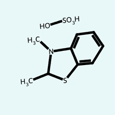 CC1Sc2ccccc2N1C.O=S(=O)(O)O